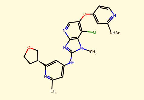 CC(=O)Nc1cc(Oc2cnc3nc(Nc4cc([C@H]5CCOC5)nc(C(F)(F)F)c4)n(C)c3c2Cl)ccn1